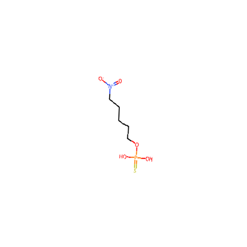 O=[N+]([O-])CCCCCOP(O)(O)=S